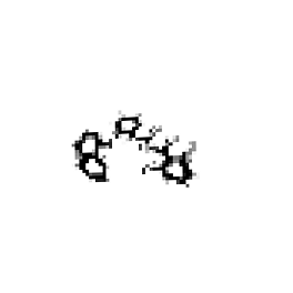 O=C(NC(=O)c1c(Cl)cccc1Cl)Nc1ccccc1Sc1cccc2ccccc12